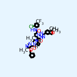 Cc1ncnc(C(=O)N2CCN(c3c4n(c5nc(-c6ccc7c(c6)COC7(C)C)nn5c3=O)C(C(=O)Nc3ccc(C(F)(F)F)cc3Cl)CC4C)[C@H]3CC[C@@H]32)c1OCc1ccccc1